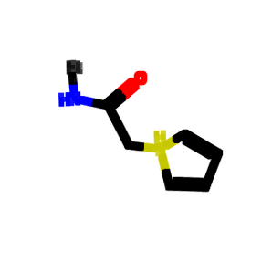 CCNC(=O)C[SH]1C=CC=C1